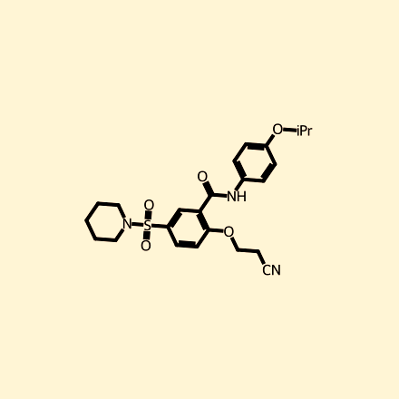 CC(C)Oc1ccc(NC(=O)c2cc(S(=O)(=O)N3CCCCC3)ccc2OCCC#N)cc1